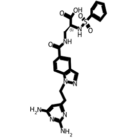 Nc1cc(CCn2ncc3cc(C(=O)NC[C@H](NS(=O)(=O)c4ccccc4)C(=O)O)ccc32)nc(N)n1